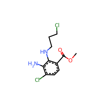 COC(=O)c1ccc(Cl)c(N)c1NCCCCl